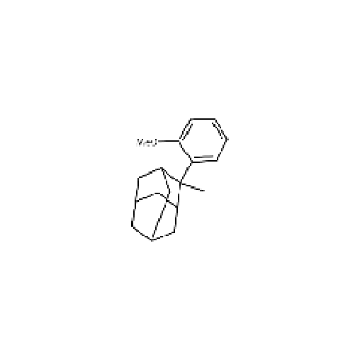 COc1ccccc1C1(C)C2CC3CC(C2)CC1C3